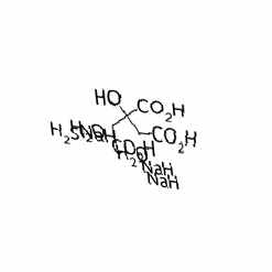 O.O.O=C(O)CC(O)(CC(=O)O)C(=O)O.S.[NaH].[NaH].[NaH]